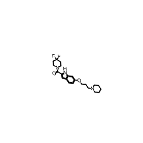 O=C(c1cc2ccc(OCCCN3CCCCC3)cc2[nH]1)N1CCC(F)(F)CC1